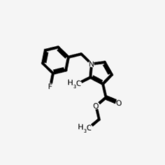 CCOC(=O)c1ccn(Cc2cccc(F)c2)c1C